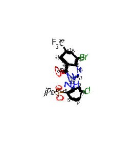 CC(C)S(=O)(=O)c1ccc(Cl)cc1Nn1cnc2c(Br)cc(C(F)(F)F)cc2c1=O